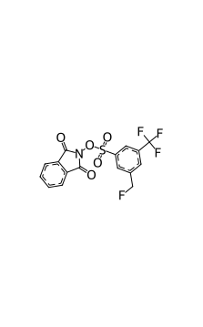 O=C1c2ccccc2C(=O)N1OS(=O)(=O)c1cc(CF)cc(C(F)(F)F)c1